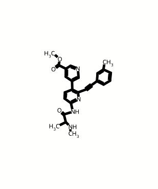 CNC(C)C(=O)Nc1ccc(-c2cncc(C(=O)OC)c2)c(C#Cc2cccc(C)c2)n1